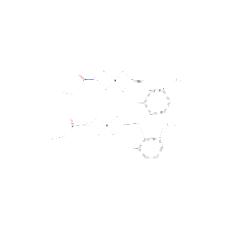 COc1cccc(F)c1C=C1CC2(C1)CN(C(=O)OC(C)(C)C)C2.COc1cccc(F)c1CC1CC2(C1)CN(C(=O)OC(C)(C)C)C2